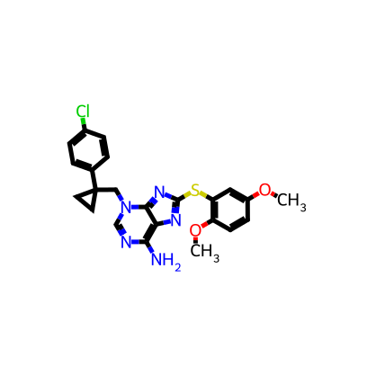 COc1ccc(OC)c(Sc2nc3c(N)ncn(CC4(c5ccc(Cl)cc5)CC4)c-3n2)c1